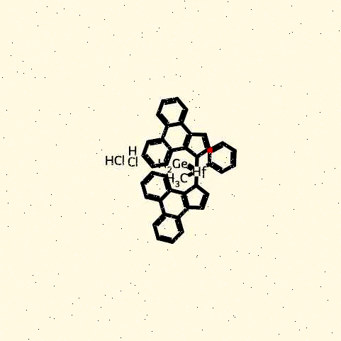 Cl.Cl.[CH3][Hf](=[GeH2])([c]1ccccc1)([CH]1C=Cc2c1c1ccccc1c1ccccc21)[CH]1C=Cc2c1c1ccccc1c1ccccc21